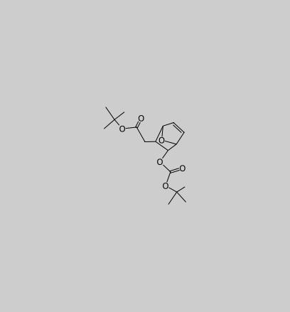 CC(C)(C)OC(=O)CC1C2C=CC(O2)C1OC(=O)OC(C)(C)C